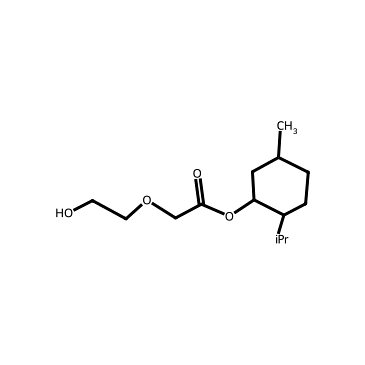 CC1CCC(C(C)C)C(OC(=O)COCCO)C1